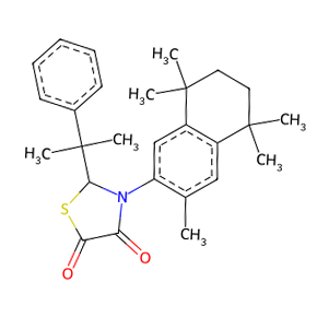 Cc1cc2c(cc1N1C(=O)C(=O)SC1C(C)(C)c1ccccc1)C(C)(C)CCC2(C)C